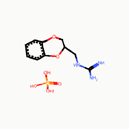 N=C(N)NCC1COc2ccccc2O1.O=P(O)(O)O